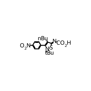 CCCCc1c(-c2ccc([N+](=O)[O-])cc2)n(C(C)(C)C)sc1=NC(=O)O